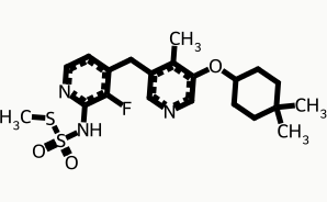 CSS(=O)(=O)Nc1nccc(Cc2cncc(OC3CCC(C)(C)CC3)c2C)c1F